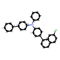 Clc1ccc2cccc(-c3ccc(N(c4ccccc4)c4ccc(-c5ccccc5)cc4)cc3)c2c1